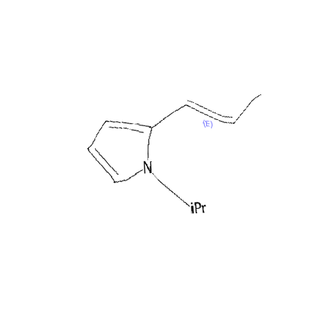 C/C=C/c1cccn1C(C)C